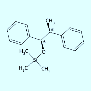 C[C@@H](c1ccccc1)[C@@H](O[Si](C)(C)C)c1ccccc1